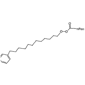 CCCCCC(=O)OOCCCCCCCCCCCCc1ccccc1